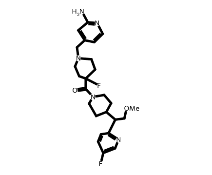 COCC(c1ccc(F)cn1)C1CCN(C(=O)C2(F)CCN(Cc3ccnc(N)c3)CC2)CC1